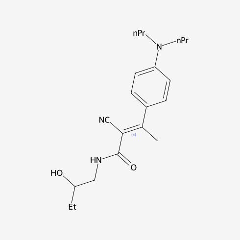 CCCN(CCC)c1ccc(/C(C)=C(\C#N)C(=O)NCC(O)CC)cc1